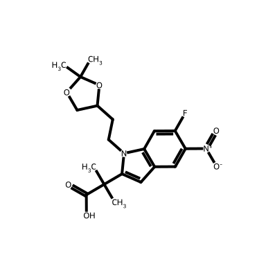 CC1(C)OCC(CCn2c(C(C)(C)C(=O)O)cc3cc([N+](=O)[O-])c(F)cc32)O1